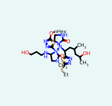 CCCCCCOc1nnc([N+]2(N(C(CC(C)CC(C)O)c3nnc(SCC)s3)N3CCNC3=O)C(=O)N(C)CC2NCCCO)s1